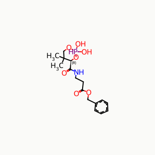 CC1(C)CO[PH](O)(O)O[C@H]1C(=O)NCCC(=O)OCc1ccccc1